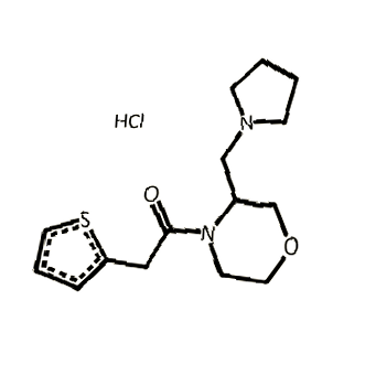 Cl.O=C(Cc1cccs1)N1CCOCC1CN1CCCC1